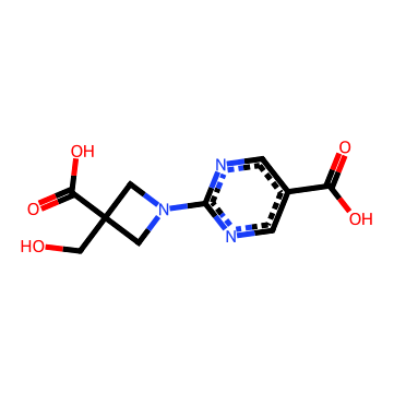 O=C(O)c1cnc(N2CC(CO)(C(=O)O)C2)nc1